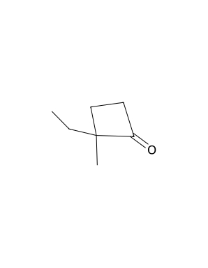 CCC1(C)CCC1=O